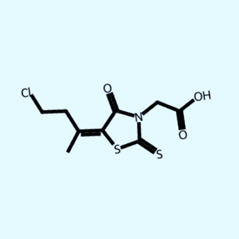 CC(CCCl)=C1SC(=S)N(CC(=O)O)C1=O